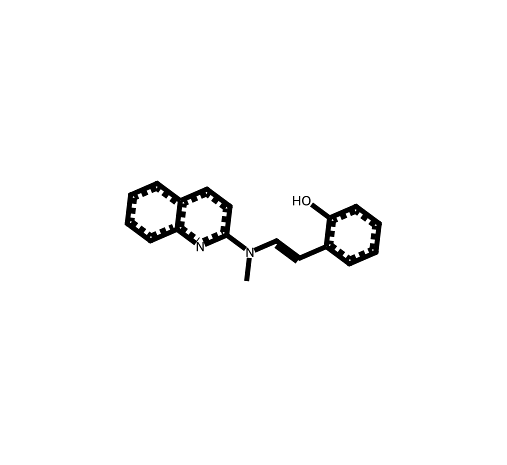 CN(/C=C/c1ccccc1O)c1ccc2ccccc2n1